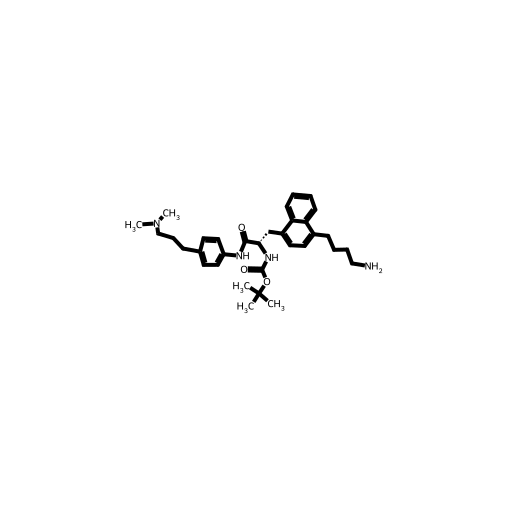 CN(C)CCCc1ccc(NC(=O)[C@H](Cc2ccc(CCCCN)c3ccccc23)NC(=O)OC(C)(C)C)cc1